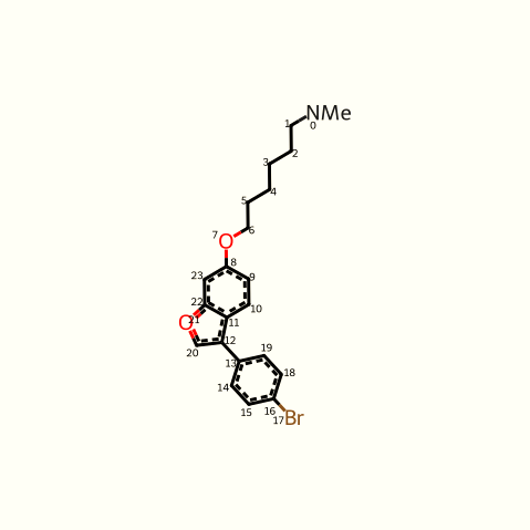 CNCCCCCCOc1ccc2c(-c3ccc(Br)cc3)coc2c1